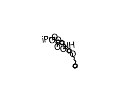 CC(C)OC(=O)c1cc(=O)c2cc(NC(=O)c3ccc(OCCCCc4ccccc4)cc3)ccc2o1